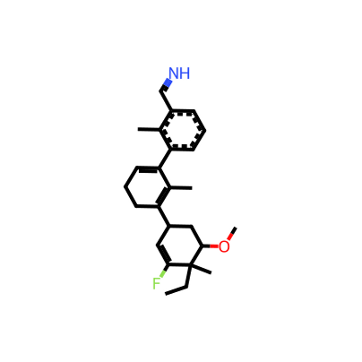 CCC1(C)C(F)=CC(C2=C(C)C(c3cccc(C=N)c3C)=CCC2)CC1OC